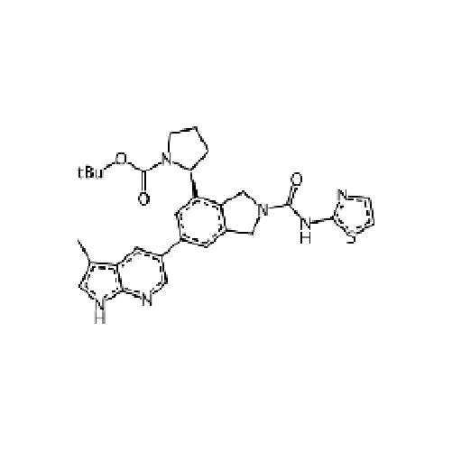 Cc1c[nH]c2ncc(-c3cc4c(c([C@@H]5CCCN5C(=O)OC(C)(C)C)c3)CN(C(=O)Nc3nccs3)C4)cc12